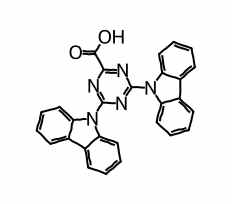 O=C(O)c1nc(-n2c3ccccc3c3ccccc32)nc(-n2c3ccccc3c3ccccc32)n1